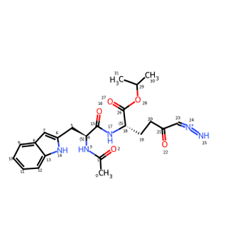 CC(=O)N[C@@H](Cc1cc2ccccc2[nH]1)C(=O)N[C@@H](CCC(=O)C=[N+]=N)C(=O)OC(C)C